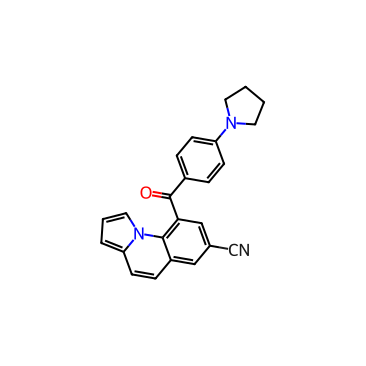 N#Cc1cc(C(=O)c2ccc(N3CCCC3)cc2)c2c(ccc3cccn32)c1